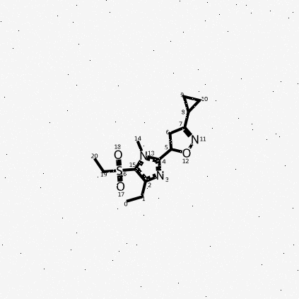 CCc1nc(C2CC(C3CC3)=NO2)n(C)c1S(=O)(=O)CC